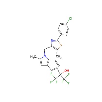 Cc1sc(-c2ccc(Cl)cc2)nc1Cn1c(C)cc2cc(C(O)(C(F)(F)F)C(F)(F)F)ccc21